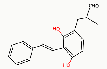 CC(C=O)Cc1ccc(O)c(C=Cc2ccccc2)c1O